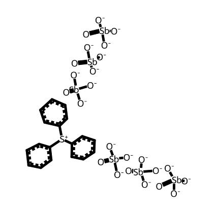 [O]=[Sb]([O-])([O-])[O-].[O]=[Sb]([O-])([O-])[O-].[O]=[Sb]([O-])([O-])[O-].[O]=[Sb]([O-])([O-])[O-].[O]=[Sb]([O-])([O-])[O-].[O]=[Sb]([O-])([O-])[O-].c1ccc([S+](c2ccccc2)c2ccccc2)cc1